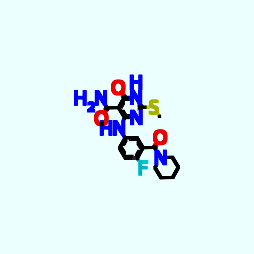 CSc1nc(Nc2ccc(F)c(C(=O)N3CCCCC3)c2)c(C(N)=O)c(=O)[nH]1